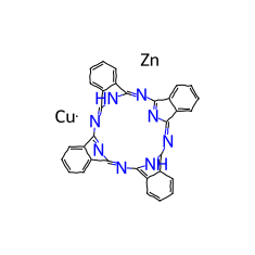 [Cu].[Zn].c1ccc2c(c1)-c1nc-2nc2[nH]c(nc3nc(nc4[nH]c(n1)c1ccccc41)-c1ccccc1-3)c1ccccc21